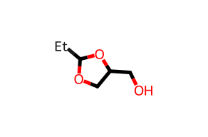 CCC1OCC(CO)O1